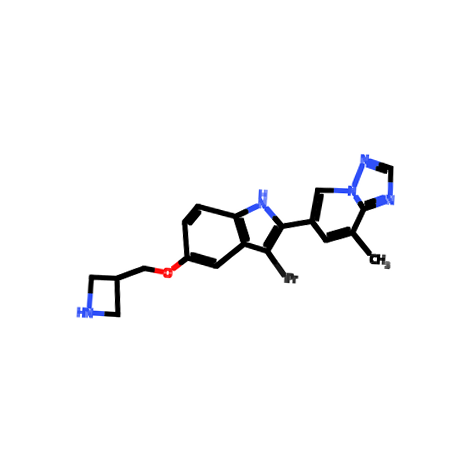 Cc1cc(-c2[nH]c3ccc(OCC4CNC4)cc3c2C(C)C)cn2ncnc12